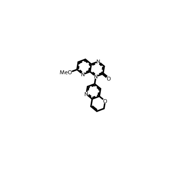 COc1ccc2ncc(=O)n(-c3cnc4c(c3)OCC=C4)c2n1